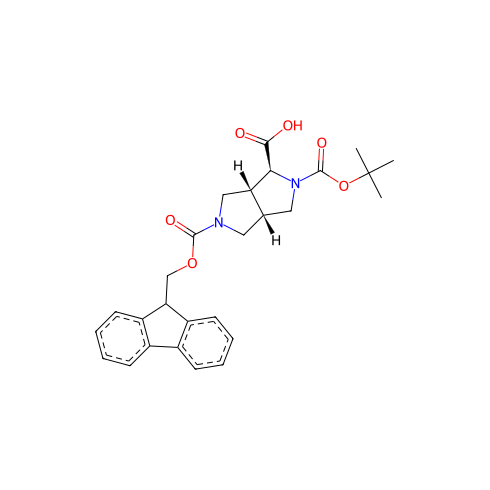 CC(C)(C)OC(=O)N1C[C@@H]2CN(C(=O)OCC3c4ccccc4-c4ccccc43)C[C@@H]2[C@H]1C(=O)O